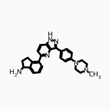 CN1CCN(c2ccc(-c3n[nH]c4ccc(-c5cccc6c5CCC6N)nc34)cc2)CC1